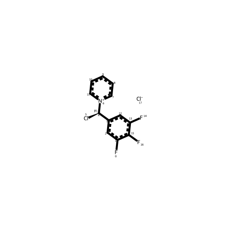 Fc1cc([C@@H](Cl)[n+]2ccccc2)cc(F)c1F.[Cl-]